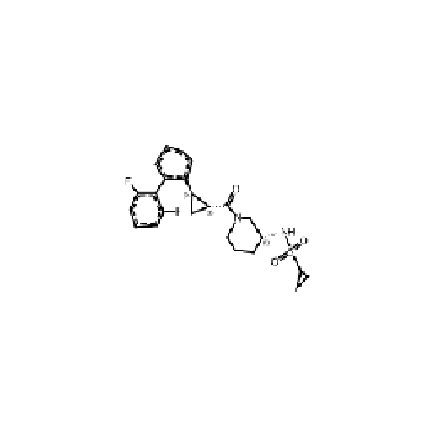 O=C([C@@H]1C[C@H]1c1ccccc1-c1c(F)cccc1F)N1CCC[C@@H](NS(=O)(=O)C2CC2)C1